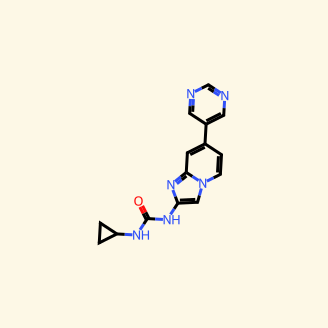 O=C(Nc1cn2ccc(-c3cncnc3)cc2n1)NC1CC1